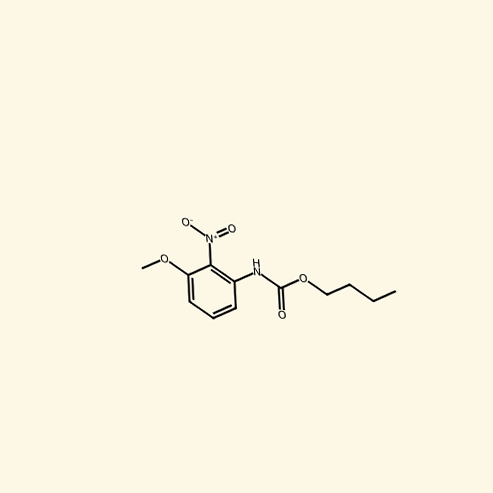 CCCCOC(=O)Nc1cccc(OC)c1[N+](=O)[O-]